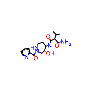 CC(C)C(C(N)=O)C(=O)N(C)C1CCNN(C(=O)c2ccccn2)CC1O